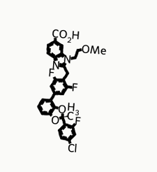 COCCn1c(Cc2c(F)cc(-c3cccc4c3O[C@@](C)(c3ccc(Cl)cc3F)O4)cc2F)nc2ccc(C(=O)O)cc21